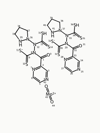 O=C(c1cnccn1)N(C(=S)[S-])N(C(=S)S)N1CCCN1.O=C(c1cnccn1)N(C(=S)[S-])N(C(=S)S)N1CCCN1.[O]=[Mo+2]=[O]